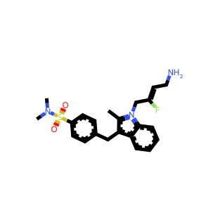 Cc1c(Cc2ccc(S(=O)(=O)N(C)C)cc2)c2ccccc2n1C/C(F)=C/CN